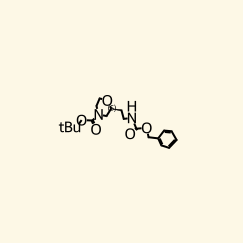 CC(C)(C)OC(=O)N1CCO[C@@H](CCNC(=O)OCc2ccccc2)C1